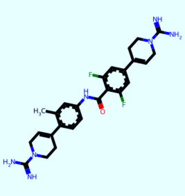 Cc1cc(NC(=O)c2c(F)cc(C3=CCN(C(=N)N)CC3)cc2F)ccc1C1=CCN(C(=N)N)CC1